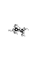 COC(=O)c1cc(NC(=O)c2cc(OC)c(OC)c(OC)c2)ccc1OC(C)=O